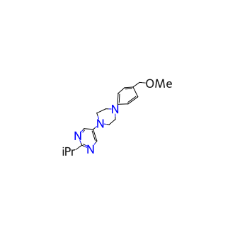 COCc1ccc(N2CCN(c3cnc(C(C)C)nc3)CC2)cc1